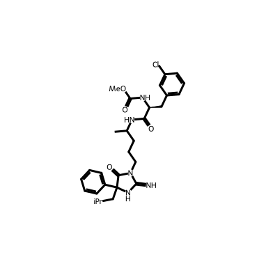 COC(=O)N[C@@H](Cc1cccc(Cl)c1)C(=O)NC(C)CCCN1C(=N)NC(CC(C)C)(c2ccccc2)C1=O